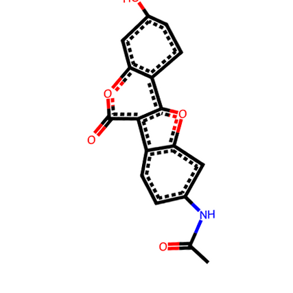 CC(=O)Nc1ccc2c(c1)oc1c3ccc(O)cc3oc(=O)c21